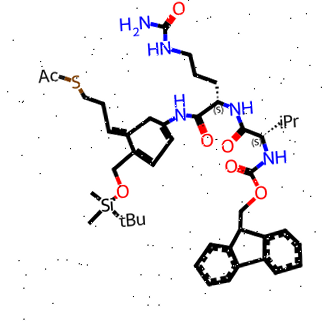 CC(=O)SCCC=C1CC(NC(=O)[C@H](CCCNC(N)=O)NC(=O)[C@@H](NC(=O)OCC2c3ccccc3-c3ccccc32)C(C)C)=CC=C1CO[Si](C)(C)C(C)(C)C